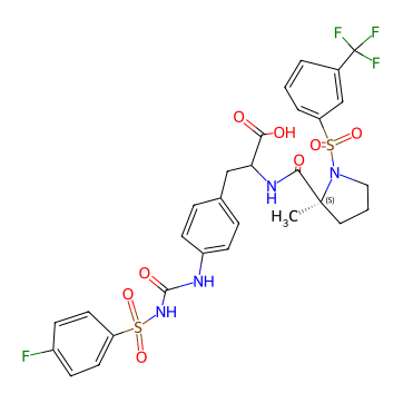 C[C@@]1(C(=O)NC(Cc2ccc(NC(=O)NS(=O)(=O)c3ccc(F)cc3)cc2)C(=O)O)CCCN1S(=O)(=O)c1cccc(C(F)(F)F)c1